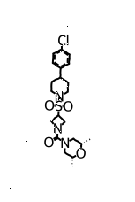 C[C@@H]1CN(C(=O)N2CC(S(=O)(=O)N3CCC(c4ccc(Cl)cc4)CC3)C2)C[C@H](C)O1